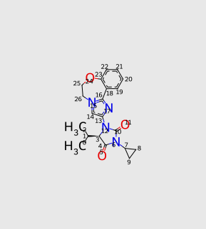 CC(C)[C@@H]1C(=O)N(C2CC2)C(=O)N1c1cn2c(n1)-c1ccccc1OCC2